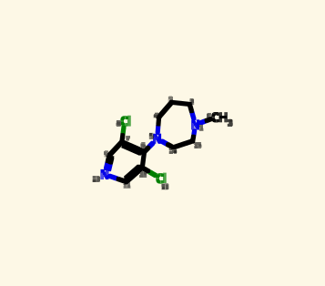 CN1CCCN(c2c(Cl)cncc2Cl)CC1